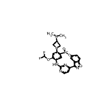 CN(C)C1CN(c2cc(OC(F)F)c(Nc3nccc(-c4noc5ccccc45)n3)cc2[N+](=O)[O-])C1